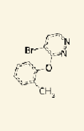 Cc1ccccc1Oc1nnccc1Br